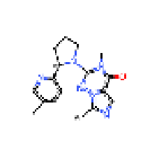 Cc1ccc([C@H]2CCCN2c2nn3c(C(C)C)ncc3c(=O)n2C)nc1